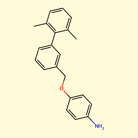 Cc1cccc(C)c1-c1cccc(COc2ccc(N)cc2)c1